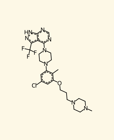 Cc1c(OCCCN2CCN(C)CC2)cc(Cl)cc1N1CCN(c2ncnc3[nH]nc(C(F)(F)F)c23)CC1